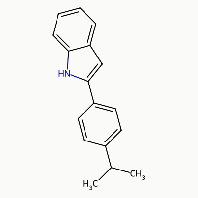 CC(C)c1ccc(-c2cc3ccccc3[nH]2)cc1